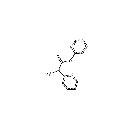 CN(C(=O)Oc1ccccn1)c1ccccn1